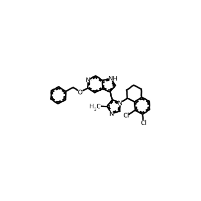 Cc1ncn(C2CCCc3ccc(Cl)c(Cl)c32)c1-c1c[nH]c2cnc(OCc3ccccc3)cc12